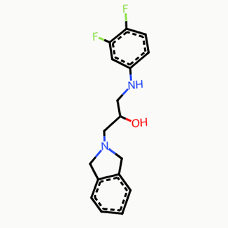 OC(CNc1ccc(F)c(F)c1)CN1Cc2ccccc2C1